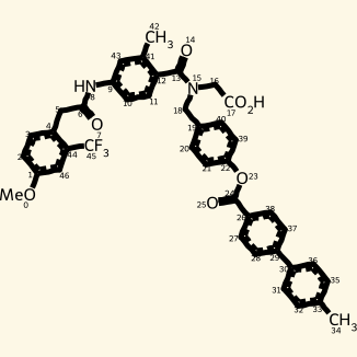 COc1ccc(CC(=O)Nc2ccc(C(=O)N(CC(=O)O)Cc3ccc(OC(=O)c4ccc(-c5ccc(C)cc5)cc4)cc3)c(C)c2)c(C(F)(F)F)c1